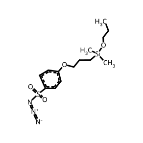 CCCO[Si](C)(C)CCCOc1ccc(S(=O)(=O)N=[N+]=[N-])cc1